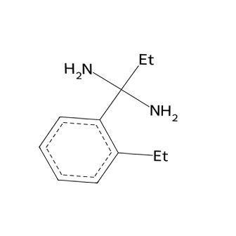 [CH2]Cc1ccccc1C(N)(N)CC